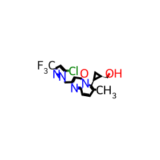 Cc1ccc2nc(Cn3nc(C(F)(F)F)cc3Cl)cc(=O)n2c1[C@H]1C[C@@H]1CO